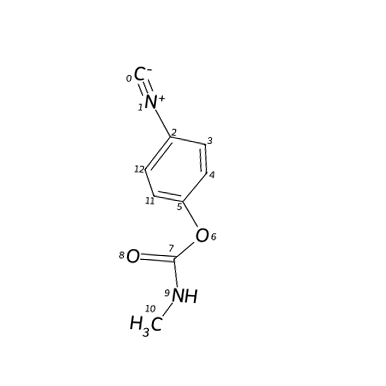 [C-]#[N+]c1ccc(OC(=O)NC)cc1